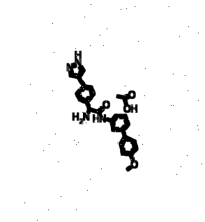 CC(=O)O.COc1ccc(-c2cccc(NC(=O)C(N)c3ccc(-c4cn[nH]c4)cc3)c2)cc1